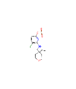 CCC1(CNc2nc(OS(C)(=O)=O)ccc2F)CCOCC1